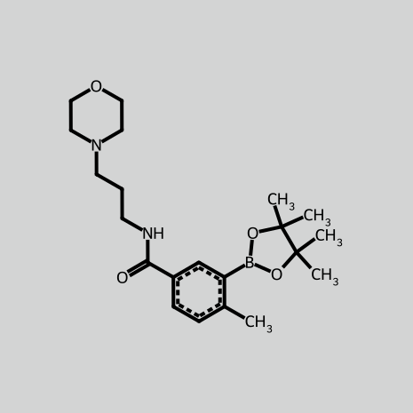 Cc1ccc(C(=O)NCCCN2CCOCC2)cc1B1OC(C)(C)C(C)(C)O1